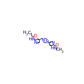 CCCC(=O)Nc1cc(CN2CCN(c3ccc(C(=O)NC)nc3)CC2)ccn1